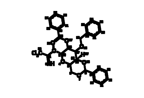 N=C(O[C@H]1OC2COC(c3ccccc3)O[C@@H]2C(OCc2ccccc2)C1OC(=O)c1ccccc1)C(Cl)(Cl)Cl